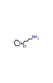 CCC(CCCCN)N1CCCCC1